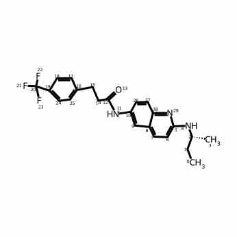 CC[C@@H](C)Nc1ccc2cc(NC(=O)CCc3ccc(C(F)(F)F)cc3)ccc2n1